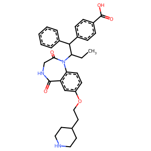 CCC(C(c1ccccc1)c1ccc(C(=O)O)cc1)N1C(=O)CNC(=O)c2cc(OCCC3CCNCC3)ccc21